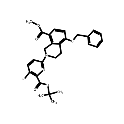 COC(=O)c1ccc(OCc2ccccc2)c2c1CN(c1ccc(Br)c(C(=O)OC(C)(C)C)n1)CC2